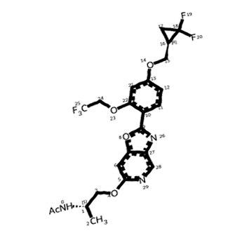 CC(=O)N[C@@H](C)COc1cc2oc(-c3ccc(OC[C@H]4CC4(F)F)cc3OCC(F)(F)F)nc2cn1